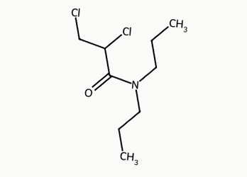 CCCN(CCC)C(=O)C(Cl)CCl